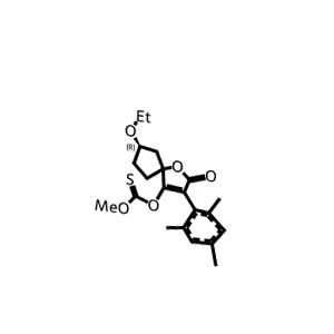 CCO[C@@H]1CCC2(C1)OC(=O)C(c1c(C)cc(C)cc1C)=C2OC(=S)OC